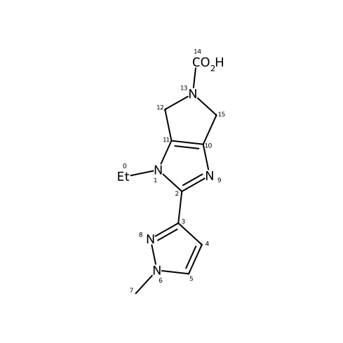 CCn1c(-c2ccn(C)n2)nc2c1CN(C(=O)O)C2